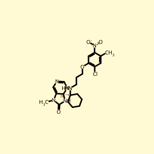 Cc1cc(Cl)c(OCCCNC2([C@@]34NC=NC=C3N(C)C(=O)N4)CCCCC2)cc1[N+](=O)[O-]